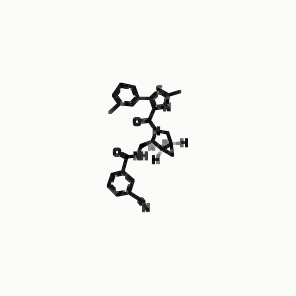 Cc1cccc(-c2sc(C)nc2C(=O)N2C[C@H]3C[C@H]3[C@H]2CNC(=O)c2cccc(C#N)c2)c1